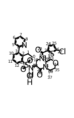 CCc1c(-c2ccccn2)cccc1S(=O)(=O)N[C@@H](CNC(=O)c1ccc(Cl)s1)C(=O)N1CCOC[C@@H]1C.Cl